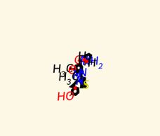 COc1cc(C(=O)N2C[C@H]3CC[C@@H]2[C@@H]3N)cc2nc(-c3cc4scc([C@H]5CC[C@H](O)CC5)c4n3CC3CC3)n(C)c12